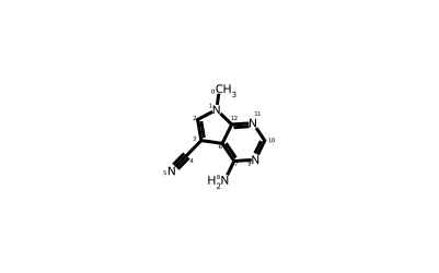 Cn1cc(C#N)c2c(N)ncnc21